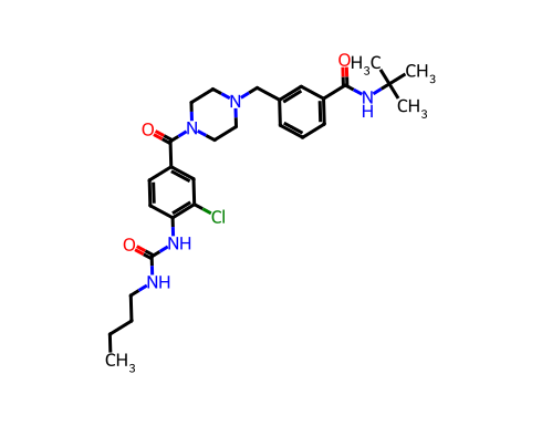 CCCCNC(=O)Nc1ccc(C(=O)N2CCN(Cc3cccc(C(=O)NC(C)(C)C)c3)CC2)cc1Cl